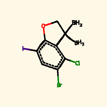 BC1(B)COc2c(I)cc(Br)c(Cl)c21